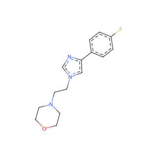 Fc1ccc(-c2cn(CCN3CCOCC3)cn2)cc1